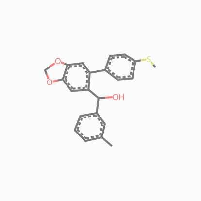 CSc1ccc(-c2cc3c(cc2C(O)c2cccc(C)c2)OCO3)cc1